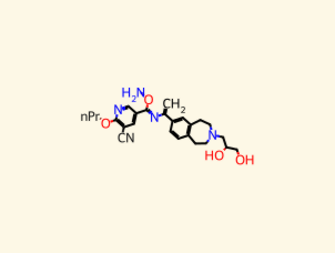 C=C(/N=C(\ON)c1cnc(OCCC)c(C#N)c1)c1ccc2c(c1)CCN(C[C@H](O)CO)CC2